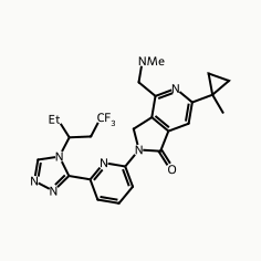 CCC(CC(F)(F)F)n1cnnc1-c1cccc(N2Cc3c(cc(C4(C)CC4)nc3CNC)C2=O)n1